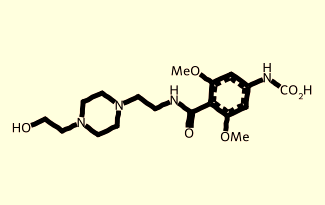 COc1cc(NC(=O)O)cc(OC)c1C(=O)NCCN1CCN(CCO)CC1